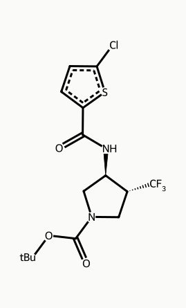 CC(C)(C)OC(=O)N1C[C@@H](C(F)(F)F)[C@H](NC(=O)c2ccc(Cl)s2)C1